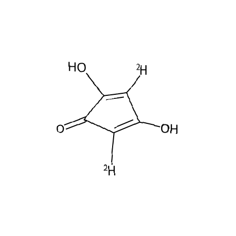 [2H]C1=C(O)C(=O)C([2H])=C1O